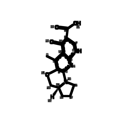 Cc1c2c(nc3[nH]cc(C(=O)O)c(=O)c13)N1CCC[C@H]1CO2